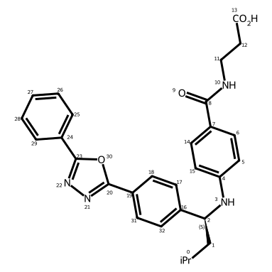 CC(C)C[C@H](Nc1ccc(C(=O)NCCC(=O)O)cc1)c1ccc(-c2nnc(-c3ccccc3)o2)cc1